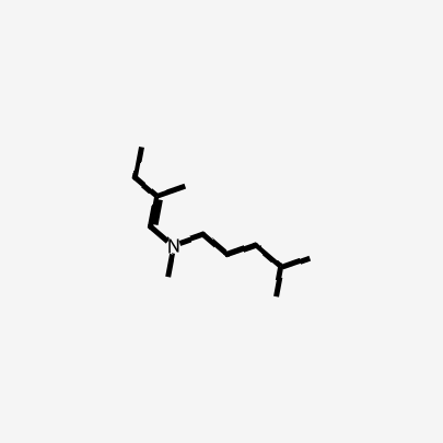 CC/C(C)=C/N(C)CCCC(C)C